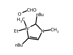 CCCCC1=CN(C)C(CCCC)[N+]1(C)CC.O=C[O-]